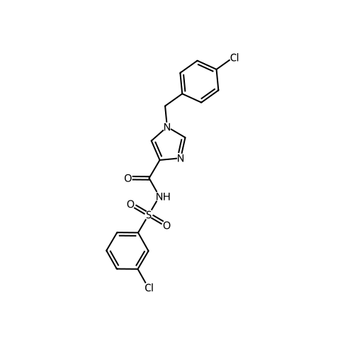 O=C(NS(=O)(=O)c1cccc(Cl)c1)c1cn(Cc2ccc(Cl)cc2)cn1